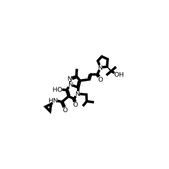 Cc1nn2c(O)c(C(=O)NC3CC3)c(=O)n(CC(C)C)c2c1/C=C/C(=O)N1CCC[C@H]1C(C)(C)O